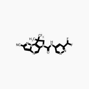 CC1(C(F)(F)F)CN(C(=O)Nc2cnnc(C(F)F)c2)c2cnc3cc(C#N)nn3c21